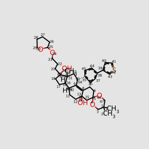 CC1(C)COC2(CCC3=C4[C@@H](CC[C@@]3(O)C2)[C@@H]2CC[C@](O)(CCCOC3CCCCO3)[C@]2(C)C[C@@H]4c2ccc(-c3ccsc3)cc2)OC1